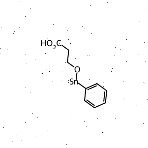 O=C(O)CC[O][Sn][c]1ccccc1